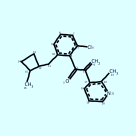 C=C(C(=O)c1c(Cl)cccc1CC1CCC1C)c1cccnc1C